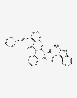 CC(NC(=O)c1c(N)nn2cccnc12)c1cc2cccc(C#Cc3ccccc3)c2c(=O)n1-c1ccccc1